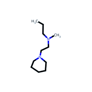 CCCN(C)CCN1CCCCC1